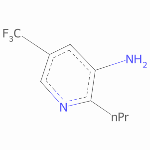 CCCc1ncc(C(F)(F)F)cc1N